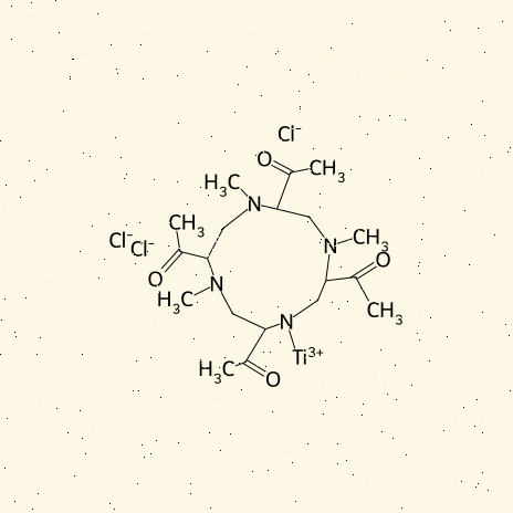 CC(=O)C1CN(C)C(C(C)=O)C[N]([Ti+3])C(C(C)=O)CN(C)C(C(C)=O)CN1C.[Cl-].[Cl-].[Cl-]